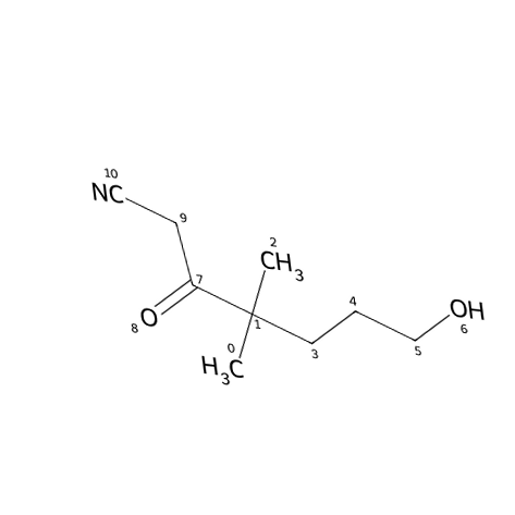 CC(C)(CCCO)C(=O)CC#N